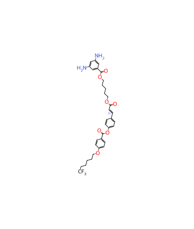 Nc1cc(N)cc(C(=O)OCCCCCOC(=O)/C=C/c2ccc(OC(=O)c3ccc(OCCCCCC(F)(F)F)cc3)cc2)c1